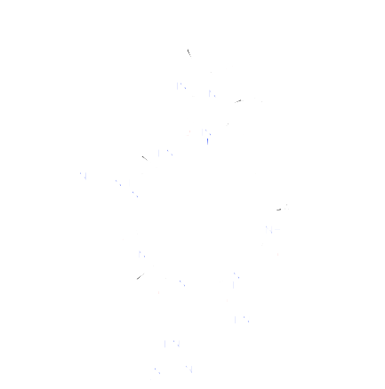 CCCC[C@@H](C(=O)N[C@H]1CSSC[C@@H](C(C)=O)NC(=O)[C@H](Cc2c[nH]c3ccccc23)NC(=O)[C@H](CCCNC(=N)N)NC(=O)[C@@H](Cc2ccccc2)NC(=O)[C@H](Cc2cnc[nH]2)NC(=O)[C@@H](C)NC1=O)N1C(=O)N[C@@H](CC2CCCCC2)C1=O